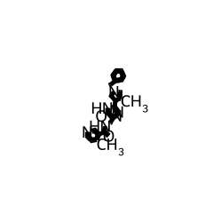 Cc1ccncc1C(=O)NCc1nnc(C2CN(Cc3ccccc3)CC2C)[nH]c1=O